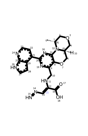 C[C@@H]1COC[C@H]2COc3c(CN/C(=C\N=N)C(=O)O)nc(-c4ccnc5[nH]ccc45)nc3N21